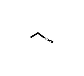 C[CH2][Sr][Br]